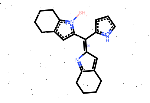 Bn1c(/C(=C2/C=C3CCCCC3=N2)c2ccc[nH]2)cc2c1CCCC2